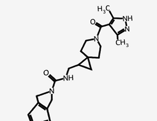 Cc1n[nH]c(C)c1C(=O)N1CCC2(CC1)CC2CNC(=O)N1Cc2ccncc2C1